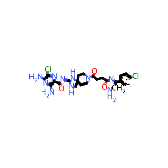 C=C(/N=C(/CCC(=O)N1CCC2(CC1)CN/C(=N\C(=O)c1nc(Cl)c(N)nc1N)N2)ON)c1ccc(Cl)cc1